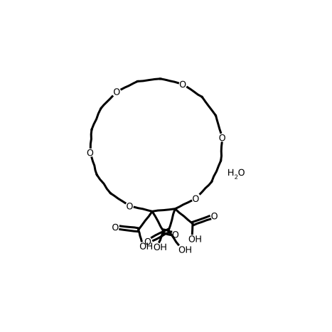 O.O=C(O)C1(C(=O)O)OCCOCCOCCOCCOCCOC1(C(=O)O)C(=O)O